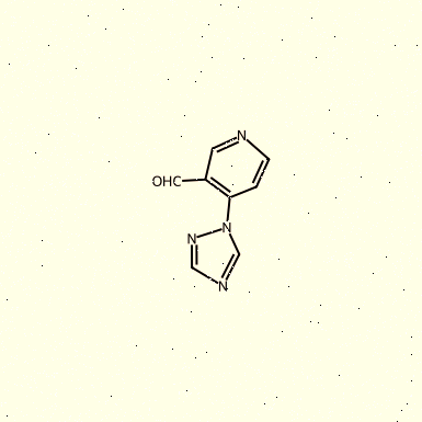 O=Cc1cnccc1-n1cncn1